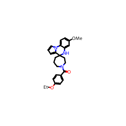 CCOc1ccc(C(=O)N2CCCC3(CC2)Nc2cc(OC)ccc2-n2cccc23)cc1